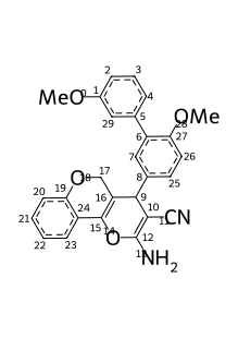 COc1cccc(-c2cc(C3C(C#N)=C(N)OC4=C3COc3ccccc34)ccc2OC)c1